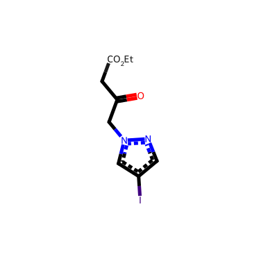 CCOC(=O)CC(=O)Cn1cc(I)cn1